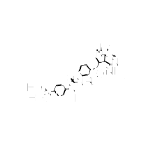 CC(C)n1cc(C(=O)c2cccc(NC(=O)Nc3ccc(N(C)C)cc3)c2Cl)c2c(N)ncnc21